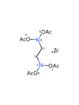 CC(=O)ON(CCN(OC(C)=O)OC(C)=O)OC(C)=O.[Zr]